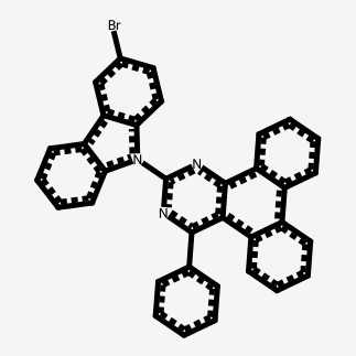 Brc1ccc2c(c1)c1ccccc1n2-c1nc(-c2ccccc2)c2c3ccccc3c3ccccc3c2n1